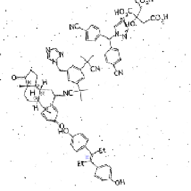 C=C1C[C@@H]2[C@H](CC[C@]3(C)C(=O)CC[C@@H]23)[C@@]2(C)C=CC(=O)C=C12.CC(C)(C#N)c1cc(Cn2cncn2)cc(C(C)(C)C#N)c1.CC/C(=C(/CC)c1ccc(O)cc1)c1ccc(O)cc1.N#Cc1ccc(C(c2ccc(C#N)cc2)n2cncn2)cc1.O=C(O)CC(O)(CC(=O)O)C(=O)O